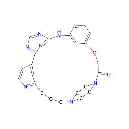 O=C1COc2cccc(c2)Nc2ncnc(n2)-c2ccnc(c2)CCCN2CCN1CC2